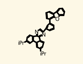 CC(C)c1ccc2c(c1)c1cc(C(C)C)ccc1c1nc(-c3cccc(-c4cccc5c4oc4ccccc45)c3)cnc21